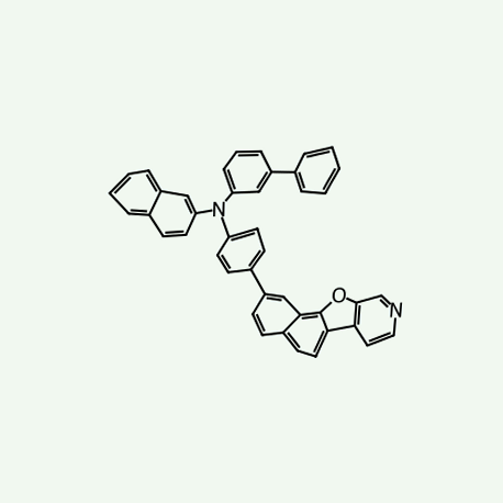 c1ccc(-c2cccc(N(c3ccc(-c4ccc5ccc6c7ccncc7oc6c5c4)cc3)c3ccc4ccccc4c3)c2)cc1